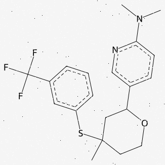 CN(C)c1ccc(C2CC(C)(Sc3cccc(C(F)(F)F)c3)CCO2)cn1